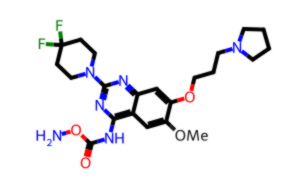 COc1cc2c(NC(=O)ON)nc(N3CCC(F)(F)CC3)nc2cc1OCCCN1CCCC1